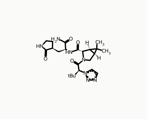 CC(C)(C)[C@@H](C(=O)N1C[C@H]2[C@@H]([C@H]1C(=O)N[C@@H](C[C@@H]1CCNC1=O)C(N)=O)C2(C)C)n1ccnn1